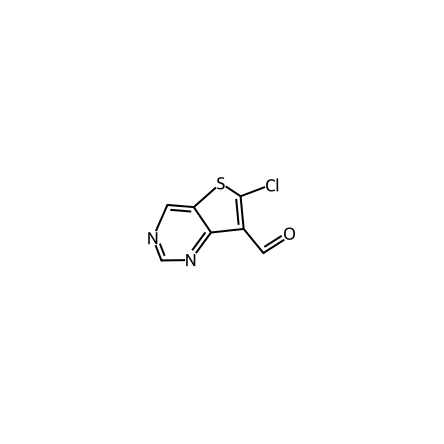 O=Cc1c(Cl)sc2cncnc12